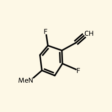 C#Cc1c(F)cc(NC)cc1F